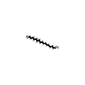 CC(C)CCCCCCCCCCCCCCCC[S]